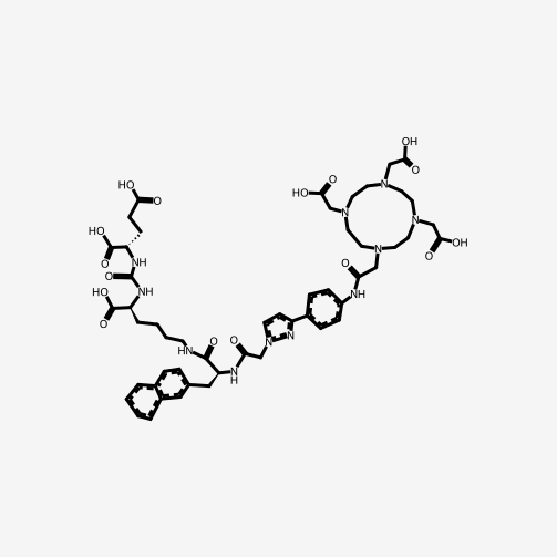 O=C(O)CC[C@H](NC(=O)N[C@@H](CCCCNC(=O)[C@H](Cc1ccc2ccccc2c1)NC(=O)Cn1ccc(-c2ccc(NC(=O)CN3CCN(CC(=O)O)CCN(CC(=O)O)CCN(CC(=O)O)CC3)cc2)n1)C(=O)O)C(=O)O